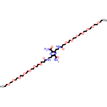 COCCOCCOCCOCCOCCOCCOCCOCCC(=O)NCCc1nc(C(N)=O)c(CCNC(=O)CCOCCOCCOCCOCCOCCOCCOCCOC)nc1C(N)=O